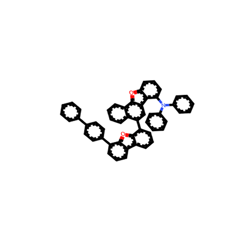 c1ccc(-c2ccc(-c3cccc4c3oc3c(-c5cc6c(oc7cccc(N(c8ccccc8)c8ccccc8)c76)c6ccccc56)cccc34)cc2)cc1